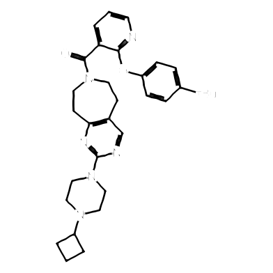 CC(C)(C)c1ccc(Oc2ncccc2C(=O)N2CCc3cnc(N4CCN(C5CCC5)CC4)nc3CC2)cc1